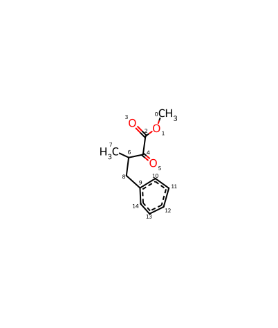 COC(=O)C(=O)C(C)Cc1ccccc1